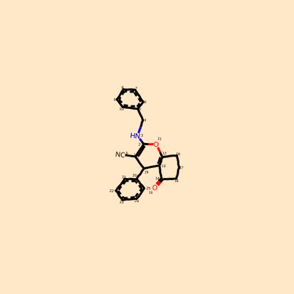 N#CC1=C(NCc2ccccc2)OC2=C(C(=O)CCC2)C1c1ccccc1